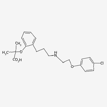 CC(C)(Oc1ccccc1CCCNCCOc1ccc(Cl)cc1)C(=O)O